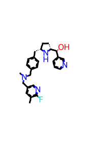 Cc1cc(CN(C)Cc2ccc(C[C@@H]3CC[C@H]([C@H](O)c4cccnc4)N3)cc2)cnc1F